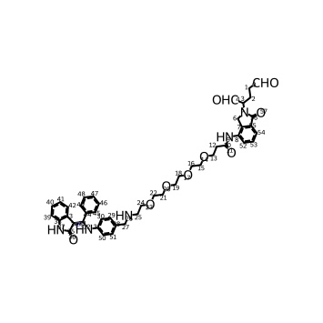 O=CCCC(C=O)N1Cc2c(NC(=O)CCOCCOCCOCCOCCNCc3ccc(N/C(=C4\C(=O)Nc5ccccc54)c4ccccc4)cc3)cccc2C1=O